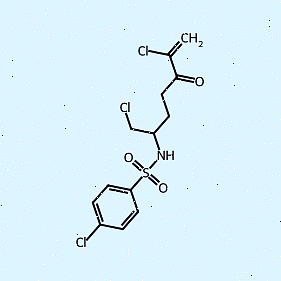 C=C(Cl)C(=O)CCC(CCl)NS(=O)(=O)c1ccc(Cl)cc1